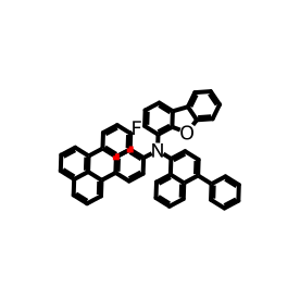 Fc1ccc(-c2cccc3cccc(-c4ccc(N(c5ccc(-c6ccccc6)c6ccccc56)c5cccc6c5oc5ccccc56)cc4)c23)cc1